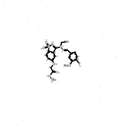 COc1cc(/C=N/N(CC(C)C)C2=NS(=O)(=O)c3ccc(OCC(=O)OC(C)(C)C)cc32)ccc1F